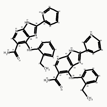 CCc1ccccc1Nc1c(C(N)=O)cnc2[nH]c(-c3ccccn3)nc12.CCc1ccccc1Nc1c(C(N)=O)cnc2[nH]c(-c3cccnc3)nc12